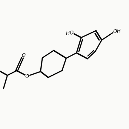 CC(C)C(=O)OC1CCC(c2ccc(O)cc2O)CC1